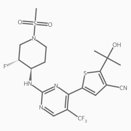 CC(C)(O)c1sc(-c2nc(N[C@@H]3CCN(S(C)(=O)=O)C[C@H]3F)ncc2C(F)(F)F)cc1C#N